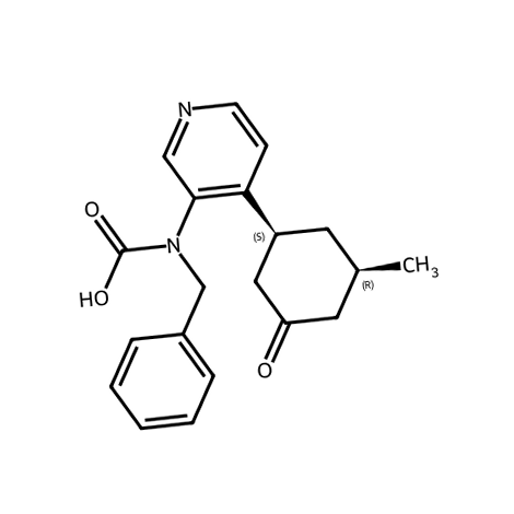 C[C@H]1CC(=O)C[C@@H](c2ccncc2N(Cc2ccccc2)C(=O)O)C1